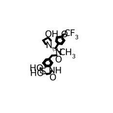 CN(C(=O)Cc1ccc2c(c1)NC(=O)CS2(O)O)[C@H](CN1CCC(O)C1)c1ccc(OC(F)(F)F)cc1